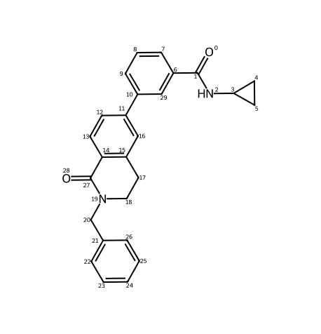 O=C(NC1CC1)c1cccc(-c2ccc3c(c2)CCN(Cc2ccccc2)C3=O)c1